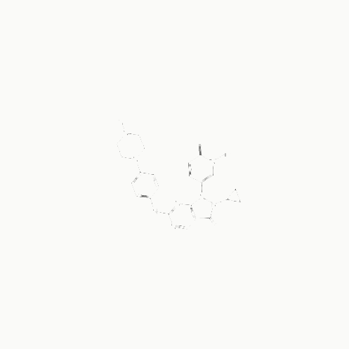 CC(C)n1cc(-n2c3nc(Nc4ccc(N5CCN(C)CC5)cc4)ncc3c(=O)n2C2CC2)ccc1=O